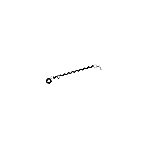 CCCCCCCCCCCCCCCCCCOCCOc1ccccc1